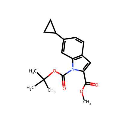 COC(=O)c1cc2ccc(C3CC3)cc2n1C(=O)OC(C)(C)C